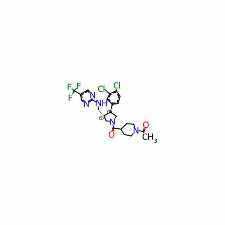 CC(=O)N1CCC(C(=O)N2C[C@H](CNc3ncc(C(F)(F)F)cn3)[C@@H](c3ccc(Cl)c(Cl)c3)C2)CC1